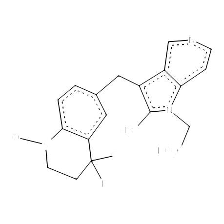 Cc1c(Cc2ccc3c(c2)C(F)(F)CC[S+]3[O-])c2cnccc2n1CC(=O)O